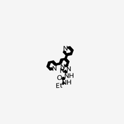 CCNC(=O)Nc1nc2cc(-c3cccnc3)cc(-c3ccccn3)n2n1